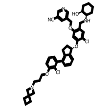 N#Cc1cncc(COc2cc(O[C@H]3CCc4c(-c5cccc(OCCCN6CC7(CCC7)C6)c5Cl)cccc43)c(Cl)cc2CN[C@@H]2CCCC[C@@H]2O)c1